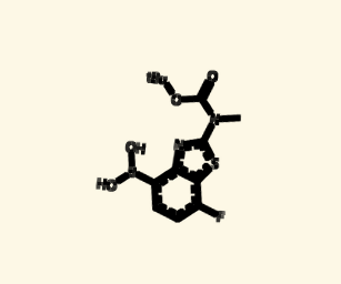 CN(C(=O)OC(C)(C)C)c1nc2c(B(O)O)ccc(F)c2s1